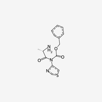 C[C@H](N)C(=O)N(C(=O)OCc1ccccc1)c1cscn1